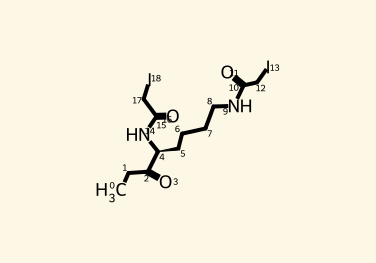 CCC(=O)[C@H](CCCCNC(=O)CI)NC(=O)CI